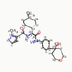 Cn1nccc1C(=O)N[C@H](C(=O)Nc1ccc(C2(O)CCOCC2)cc1)[C@H]1CC[C@H](C)CC1